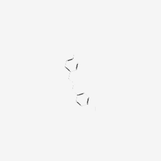 Clc1ccc(CSCc2ccc(Cl)cc2)cc1